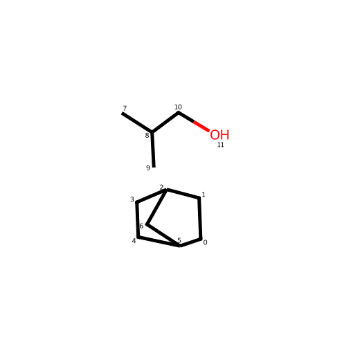 C1CC2CCC1C2.CC(C)CO